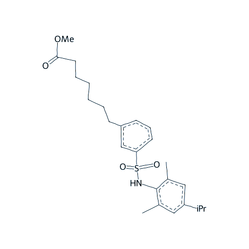 COC(=O)CCCCCCc1cccc(S(=O)(=O)Nc2c(C)cc(C(C)C)cc2C)c1